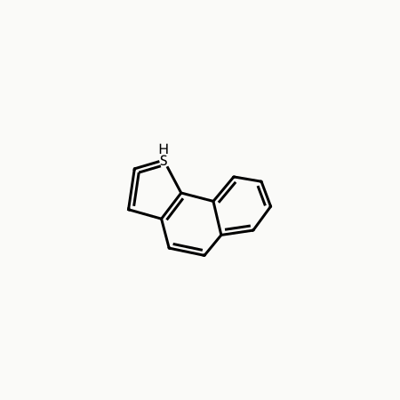 C1=Cc2ccc3ccccc3c2[SH]=1